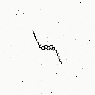 CCCCCCCCCCc1cc2ccc3c4ccc5c(ccc6cc(CCCCCCCCCC)sc65)c4ccc3c2s1